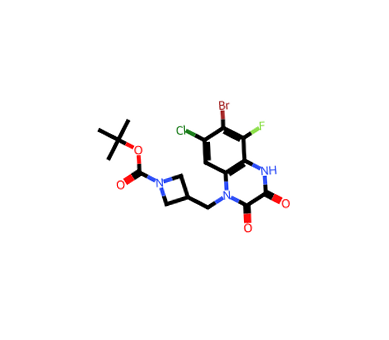 CC(C)(C)OC(=O)N1CC(Cn2c(=O)c(=O)[nH]c3c(F)c(Br)c(Cl)cc32)C1